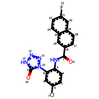 O=C(Nc1ccc(Cl)cc1-n1nn[nH]c1=O)c1ccc2cc(F)ccc2c1